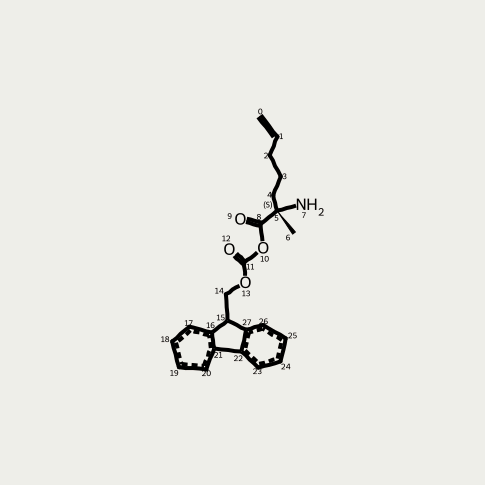 C=CCCC[C@](C)(N)C(=O)OC(=O)OCC1c2ccccc2-c2ccccc21